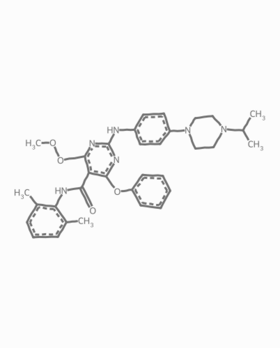 COOc1nc(Nc2ccc(N3CCN(C(C)C)CC3)cc2)nc(Oc2ccccc2)c1C(=O)Nc1c(C)cccc1C